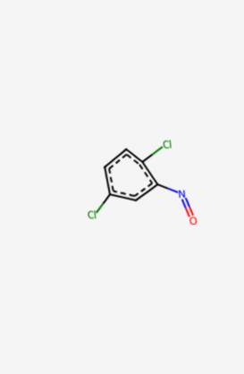 O=Nc1cc(Cl)ccc1Cl